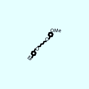 COc1ccc(COCCCCCCOCc2ccc(C[Si](C)(C)C)cc2)cc1